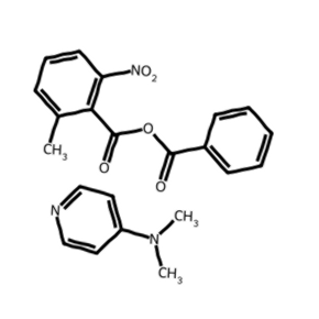 CN(C)c1ccncc1.Cc1cccc([N+](=O)[O-])c1C(=O)OC(=O)c1ccccc1